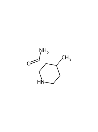 CC1CCNCC1.NC=O